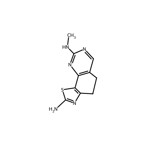 CNc1ncc2c(n1)-c1sc(N)nc1CC2